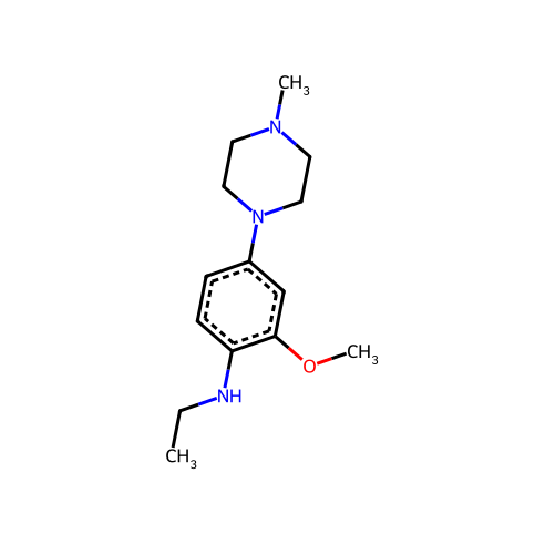 CCNc1ccc(N2CCN(C)CC2)cc1OC